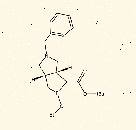 CCOP1C[C@@H]2CN(Cc3ccccc3)C[C@@H]2[C@@H]1C(=O)OC(C)(C)C